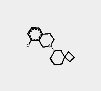 Fc1cccc2c1CN([C@H]1CCCC3(CCC3)C1)CC2